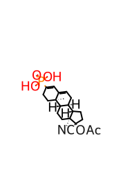 CC(=O)O[C@]1(C#N)CC[C@H]2[C@@H]3CC=C4C=C(P(=O)(O)O)CC[C@]4(C)[C@H]3CC[C@@]21C